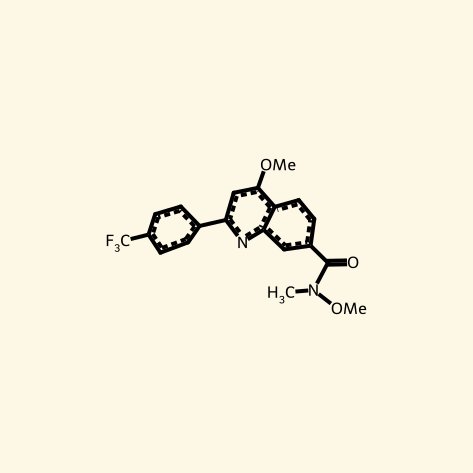 COc1cc(-c2ccc(C(F)(F)F)cc2)nc2cc(C(=O)N(C)OC)ccc12